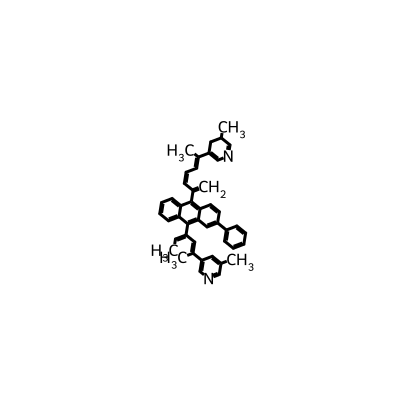 C=C(/C=C\C=C(/C)C1=CN=CC(C)C1)c1c2ccccc2c(C(/C=C(\C)c2cncc(C)c2)=C/C)c2cc(-c3ccccc3)ccc12